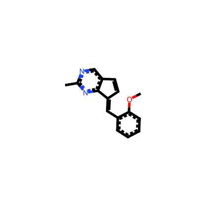 COc1ccccc1/C=C1\C=Cc2cnc(C)nc21